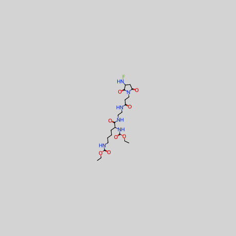 CCOC(=O)NCCCCC(NC(=O)OCC)C(=O)NCCNC(=O)CCN1C(=O)CC(NF)C1=O